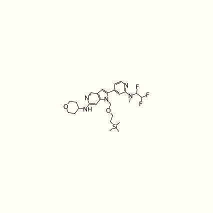 CN(c1cc(-c2cc3cnc(NC4CCOCC4)cc3n2COCC[Si](C)(C)C)ccn1)C(F)C(F)F